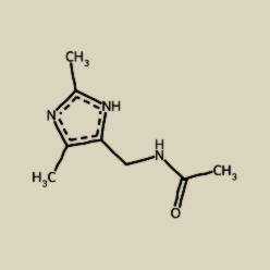 CC(=O)NCc1[nH]c(C)nc1C